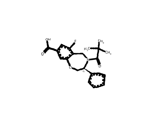 CC(C)(C)C(=O)N1Cc2c(F)cc(C(=O)O)cc2OC[C@@H]1c1ccccc1